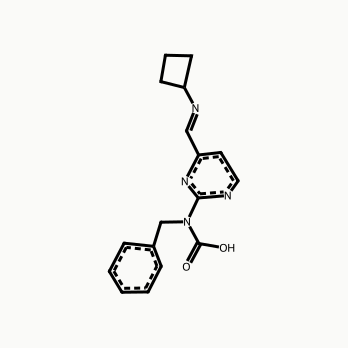 O=C(O)N(Cc1ccccc1)c1nccc(C=NC2CCC2)n1